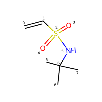 C=CS(=O)(=O)NC(C)(C)C